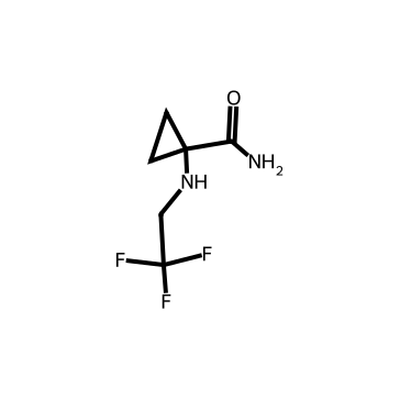 NC(=O)C1(NCC(F)(F)F)CC1